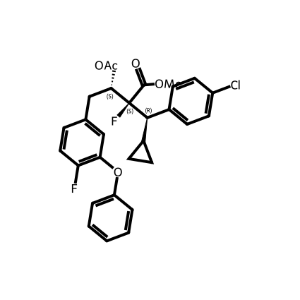 COC(=O)[C@@](F)([C@H](Cc1ccc(F)c(Oc2ccccc2)c1)OC(C)=O)[C@@H](c1ccc(Cl)cc1)C1CC1